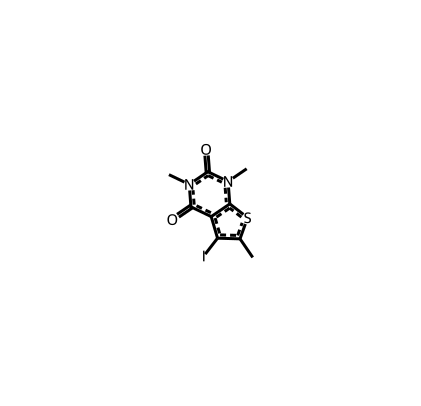 Cc1sc2c(c1I)c(=O)n(C)c(=O)n2C